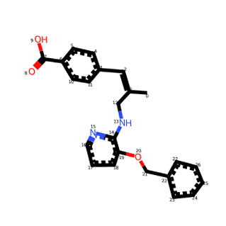 CC(=Cc1ccc(C(=O)O)cc1)CNc1ncccc1OCc1ccccc1